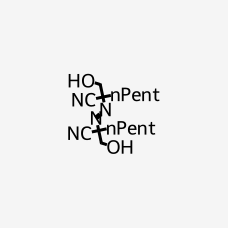 CCCCCC(C#N)(CO)N=NC(C#N)(CO)CCCCC